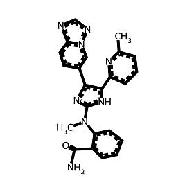 Cc1cccc(-c2[nH]c(N(C)c3ccccc3C(N)=O)nc2-c2ccc3ncnn3c2)n1